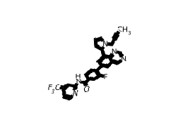 CC#CCN1CCCC1c1cc(-c2ccc(C(=O)Nc3cc(C(F)(F)F)ccn3)cc2F)cc2cncnc12